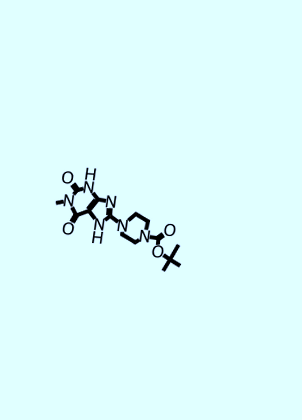 Cn1c(=O)[nH]c2nc(N3CCN(C(=O)OC(C)(C)C)CC3)[nH]c2c1=O